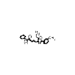 Cc1cccc(-c2nc(CCCC(=O)NC3CCCCC3)c(C)o2)c1